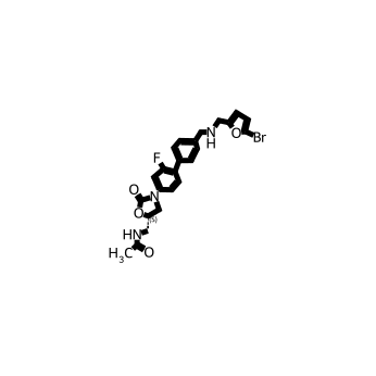 CC(=O)NC[C@H]1CN(c2ccc(-c3ccc(CNCc4ccc(Br)o4)cc3)c(F)c2)C(=O)O1